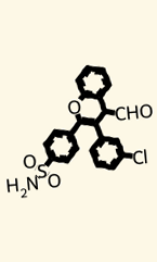 NS(=O)(=O)c1ccc(C2=C(c3cccc(Cl)c3)C(C=O)c3ccccc3O2)cc1